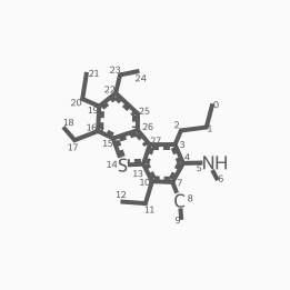 CCCc1c(NC)c(CC)c(CC)c2sc3c(CC)c(CC)c(CC)cc3c12